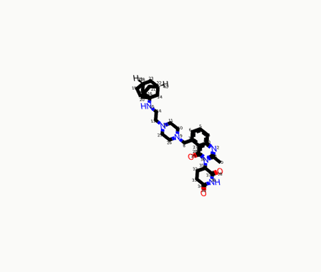 Cc1nc2cccc(CN3CCN(CCNC45C[C@@H]6CC4C[C@@H](C6)C5)CC3)c2c(=O)n1C1CCC(=O)NC1=O